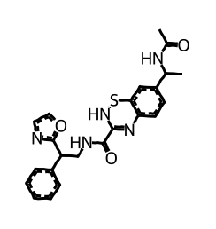 CC(=O)NC(C)c1ccc2c(c1)SNC(C(=O)NCC(c1ccccc1)c1ncco1)=N2